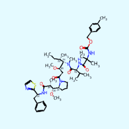 CC[C@H](C)[C@@H]([C@@H](CC(=O)N1CCC[C@H]1[C@H](OC)[C@@H](C)C(=O)N[C@@H](Cc1ccccc1)c1nccs1)OC)N(C)C(=O)[C@@H](NC(=O)C(C)(C)NC(=O)OCc1ccc(C)cc1)C(C)C